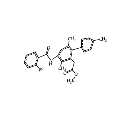 COC(=O)Cc1c(C)c(NC(=O)c2ccccc2Br)cc(C)c1-c1ccc(C)cc1